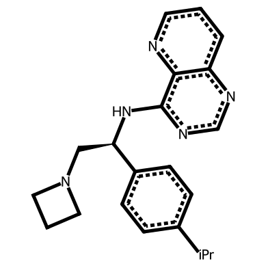 CC(C)c1ccc([C@@H](CN2CCC2)Nc2ncnc3cccnc23)cc1